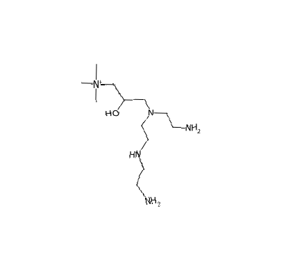 C[N+](C)(C)CC(O)CN(CCN)CCNCCN